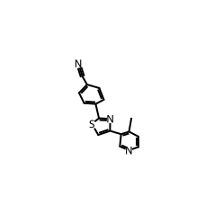 Cc1ccncc1-c1csc(-c2ccc(C#N)cc2)n1